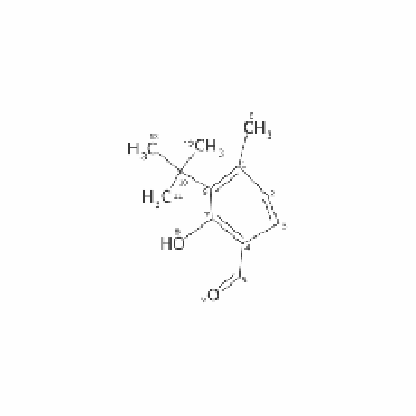 Cc1ccc(C=O)c(O)c1C(C)(C)C